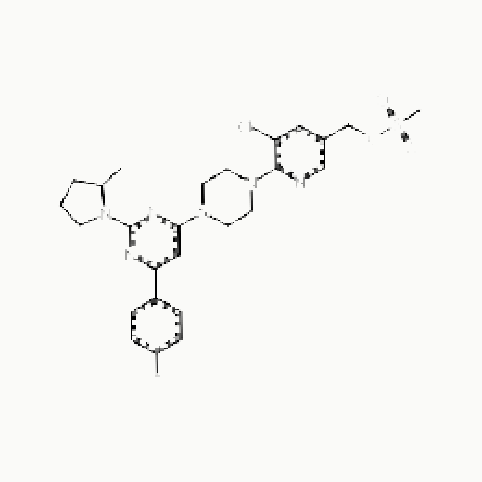 CC1CCCN1c1nc(-c2ccc(F)cc2)cc(N2CCN(c3ncc(COS(C)(=O)=O)cc3Cl)CC2)n1